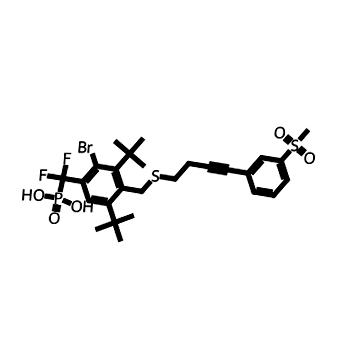 CC(C)(C)c1cc(C(F)(F)P(=O)(O)O)c(Br)c(C(C)(C)C)c1CSCCC#Cc1cccc(S(C)(=O)=O)c1